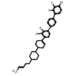 C/C=C/CCC1CCC(C2CC=C(c3ccc(-c4ccc(-c5ccc(CC)c(F)c5F)cc4)c(F)c3F)CC2)CC1